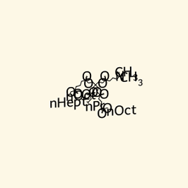 CCCCCCCCOC(=O)CCCC(=O)OCC(COC(=O)CCCC(=O)OCCCCCCCC)(COC(=O)CCCN(C)C)COC(=O)CC(CCC)CCCCCCC